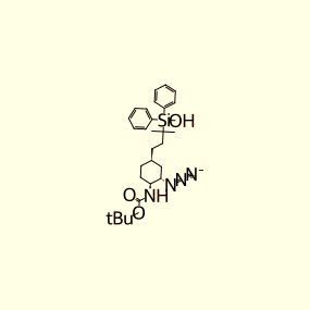 CC(C)(C)OC(=O)N[C@H]1CC[C@@H](CCC(C)(C)[Si](O)(c2ccccc2)c2ccccc2)C[C@@H]1N=[N+]=[N-]